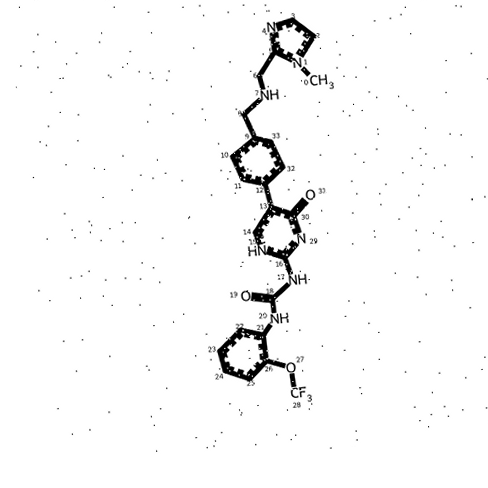 Cn1ccnc1CNCc1ccc(-c2c[nH]c(NC(=O)Nc3ccccc3OC(F)(F)F)nc2=O)cc1